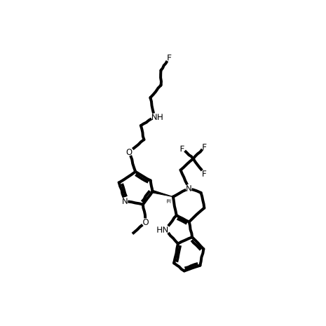 COc1ncc(OCCNCCCF)cc1[C@@H]1c2[nH]c3ccccc3c2CCN1CC(F)(F)F